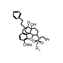 COc1ccc2c3c1OC1C(N(CC(C)C)S(C)(=O)=O)CC[C@@]4(O)[C@@H](C2)N(CCc2ccccc2)CC[C@]314